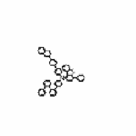 c1ccc(-c2ccccc2-c2ccccc2-c2ccc(N(c3ccc(-c4ccc(-c5ccc6ccccc6c5)cc4)cc3)c3ccc(-c4ccccc4)c4sc5ccccc5c34)cc2)cc1